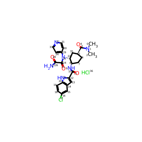 CN(C)C(=O)[C@H]1CC[C@H](NC(=O)c2cc3cc(Cl)ccc3[nH]2)[C@H](N(C(=O)C(N)=O)c2ccncc2)C1.Cl